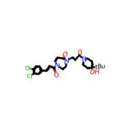 CC(C)(C)C1(O)CCN(C(=O)CCN2CCN(C(=O)C=Cc3ccc(Cl)c(Cl)c3)CCC2=O)CC1